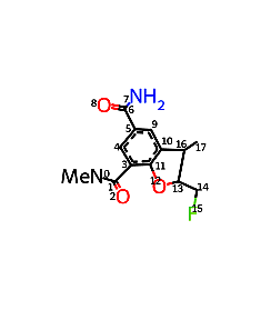 CNC(=O)c1cc(C(N)=O)cc2c1OC(CF)C2C